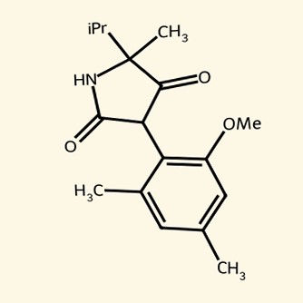 COc1cc(C)cc(C)c1C1C(=O)NC(C)(C(C)C)C1=O